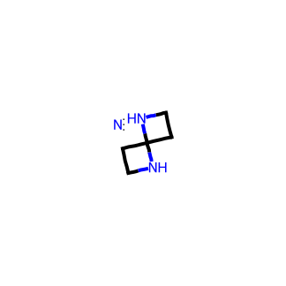 C1CC2(CCN2)N1.[N]